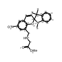 COC(=O)CNCc1cc([N+](=O)[O-])cc2c1OC1(C=C2)N(C)c2ccccc2C1(C)C